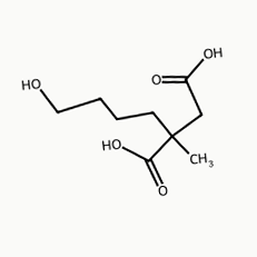 CC(CCCCO)(CC(=O)O)C(=O)O